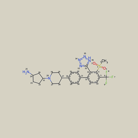 CS(=O)(=O)c1c(C(F)(F)F)ccc(-c2ccc(C3CCN(C4CCC(N)C4)CC3)cc2)c1-c1nnn[nH]1